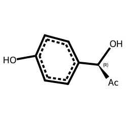 CC(=O)[C@H](O)c1ccc(O)cc1